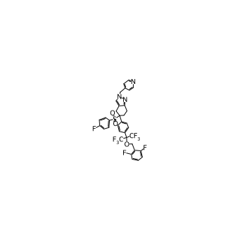 O=S(=O)(c1ccc(F)cc1)C1(c2ccc(C(OCc3c(F)cccc3F)(C(F)(F)F)C(F)(F)F)cc2)CCc2nn(Cc3ccncc3)cc2C1